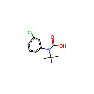 CC(C)(C)N(C(=O)O)c1cccc(Cl)c1